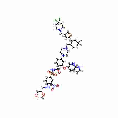 CC1(C)CCC(CN2CCN(c3ccc(C(=O)NS(=O)(=O)c4ccc(NC[C@H]5COCCO5)c([N+](=O)[O-])c4)c(Oc4cnc5[nH]ccc5c4)c3)CC2)=C(c2cc(CN3CCC(F)(F)CC3)cs2)C1